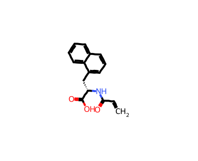 C=CC(=O)N[C@@H](Cc1cccc2ccccc12)C(=O)O